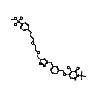 COS(=O)(=O)c1ccc(CCCOCCOCc2cn(Cc3cccc(COc4cnn(C(C)(C)C)c(=O)c4Cl)c3)nn2)cc1